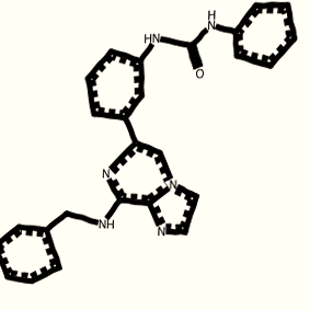 O=C(Nc1ccccc1)Nc1cccc(-c2cn3ccnc3c(NCc3ccccc3)n2)c1